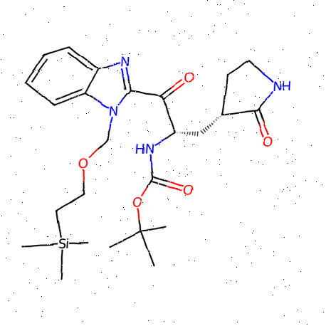 CC(C)(C)OC(=O)N[C@@H](C[C@@H]1CCNC1=O)C(=O)c1nc2ccccc2n1COCC[Si](C)(C)C